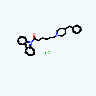 Cl.O=C(CCCCCN1CCC(Cc2ccccc2)CC1)n1c2ccccc2c2ccccc21